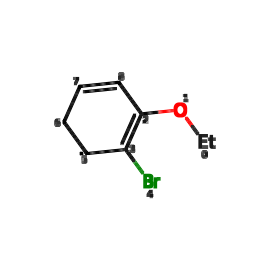 CCOC1=C(Br)[CH]CC=C1